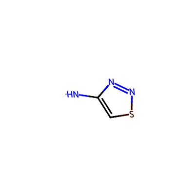 [NH]c1csnn1